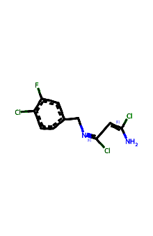 N/C(Cl)=C\C(Cl)=N/Cc1ccc(Cl)c(F)c1